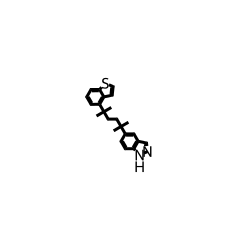 CC(C)(CCC(C)(C)c1cccc2sccc12)c1ccc2[nH]ncc2c1